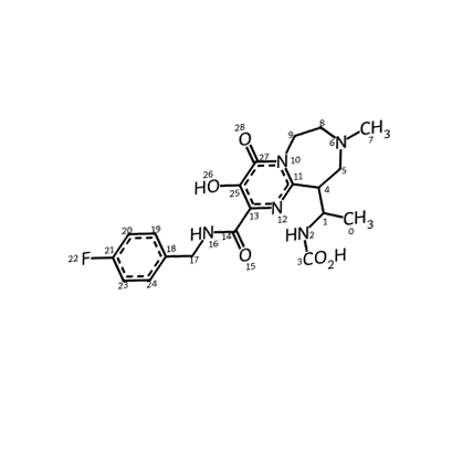 CC(NC(=O)O)C1CN(C)CCn2c1nc(C(=O)NCc1ccc(F)cc1)c(O)c2=O